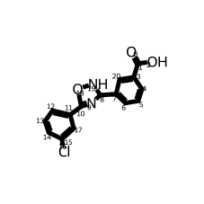 O=C(O)c1cccc(C2N=C(c3cccc(Cl)c3)ON2)c1